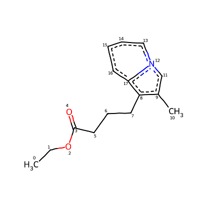 CCOC(=O)CCCc1c(C)cn2ccccc12